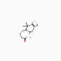 CN1C(=O)CCC[C@H]2C(C)(C)c3oncc3C[C@@]21C